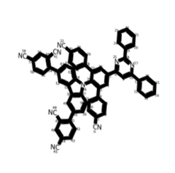 N#Cc1ccc(-c2cc(-c3cc(-c4ccccc4)nc(-c4ccccc4)n3)cc(-c3ccc(C#N)cc3)c2-n2c3ccc(-c4ccc(C#N)cc4C#N)cc3c3cc(-c4ccc(C#N)cc4C#N)ccc32)cc1